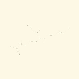 CCCCCN[C@@H](CCCNC(=N)N)C(=O)OCC